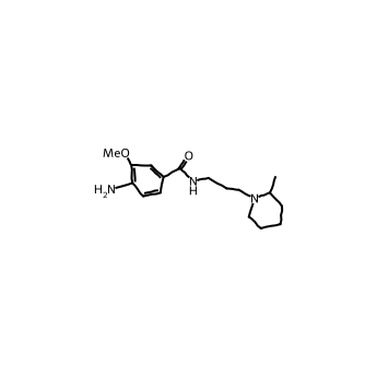 COc1cc(C(=O)NCCCN2CCCCC2C)ccc1N